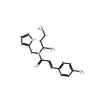 Cc1ccc(/C=C/C(=O)N(Cc2cccs2)C(N)CCN)cc1